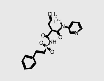 C=CCC(C(=O)NS(=O)(=O)C=Cc1ccccc1)C(=O)N(c1cccnc1)C(C)C